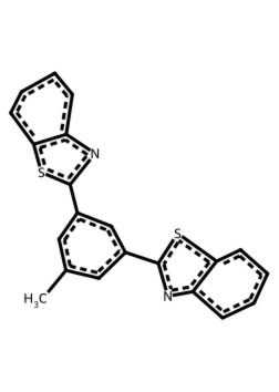 Cc1cc(-c2nc3ccccc3s2)cc(-c2nc3ccccc3s2)c1